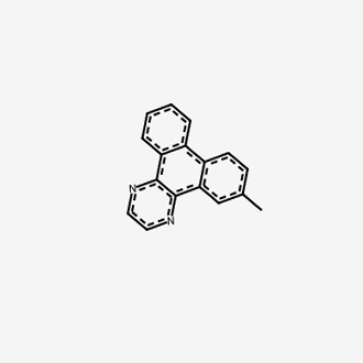 Cc1ccc2c3ccccc3c3nccnc3c2c1